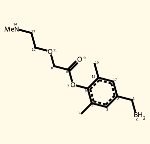 BCc1cc(C)c(OC(=O)COCCNC)c(C)c1